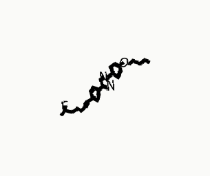 CCCCCOc1ccc(-c2ncc(-c3ccc(C#CCCCC(C)F)cc3)cn2)cc1